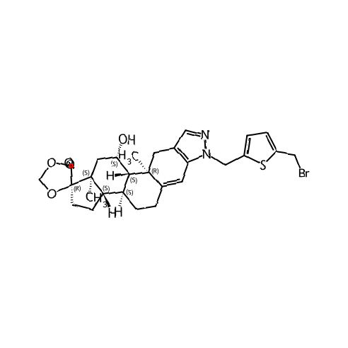 C[C@]12Cc3cnn(Cc4ccc(CBr)s4)c3C=C1CC[C@@H]1[C@@H]2[C@@H](O)C[C@@]2(C)[C@H]1CC[C@@]21OCOC12COCO2